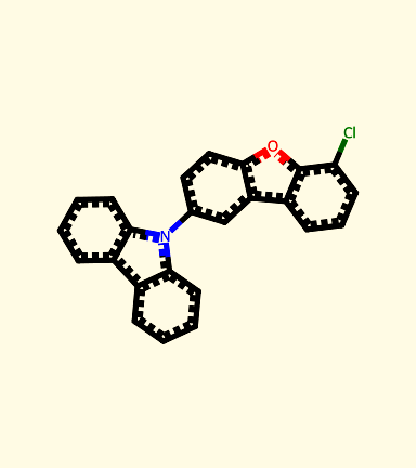 Clc1cccc2c1oc1ccc(-n3c4ccccc4c4ccccc43)cc12